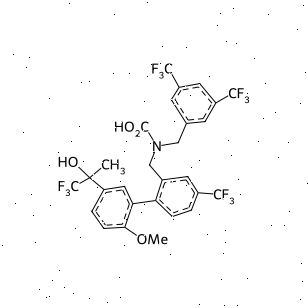 COc1ccc(C(C)(O)C(F)(F)F)cc1-c1ccc(C(F)(F)F)cc1CN(Cc1cc(C(F)(F)F)cc(C(F)(F)F)c1)C(=O)O